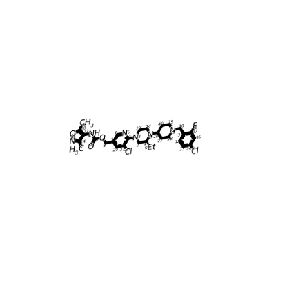 CC[C@H]1CN(c2ncc(COC(=O)Nc3c(C)noc3C)cc2Cl)CCN1C1CCN(Cc2ccc(Cl)cc2F)CC1